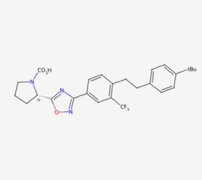 CC(C)(C)c1ccc(CCc2ccc(-c3noc([C@@H]4CCCN4C(=O)O)n3)cc2C(F)(F)F)cc1